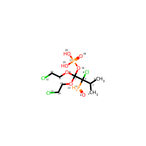 CC(C)C(Cl)([PH2]=O)C(OCCCl)(OCCCl)OP(=O)(O)O